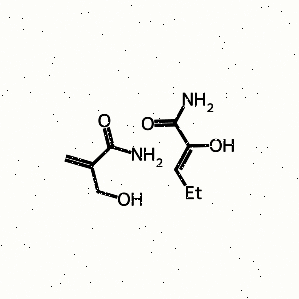 C=C(CO)C(N)=O.CC/C=C(\O)C(N)=O